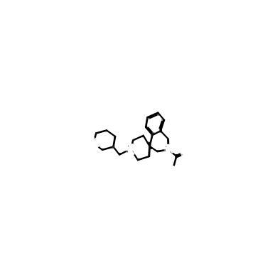 CC(=O)N1Cc2ccccc2C2(CCN(CC3CCCOC3)CC2)C1